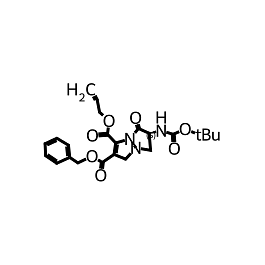 C=CCOC(=O)C1=C(C(=O)OCc2ccccc2)CN2C[C@H](NC(=O)OC(C)(C)C)C(=O)N12